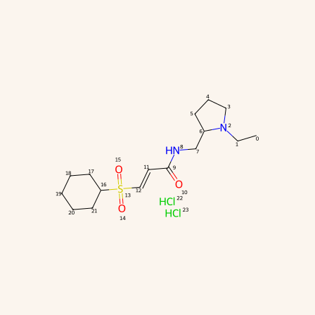 CCN1CCCC1CNC(=O)/C=C/S(=O)(=O)C1CCCCC1.Cl.Cl